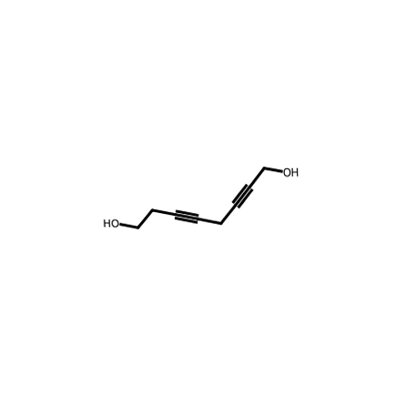 OCC#CCC#CCCO